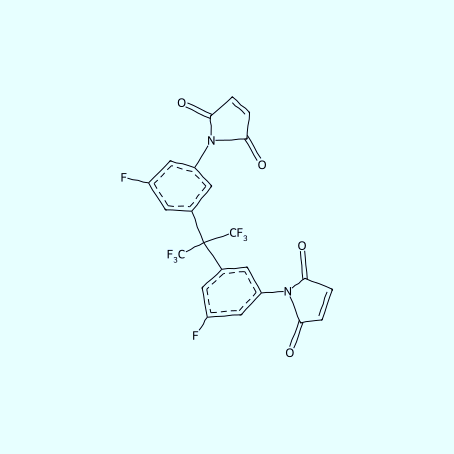 O=C1C=CC(=O)N1c1cc(F)cc(C(c2cc(F)cc(N3C(=O)C=CC3=O)c2)(C(F)(F)F)C(F)(F)F)c1